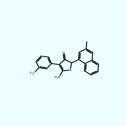 Cc1cc(C2OC(N)=C(c3cccc(C(F)(F)F)c3)C2=O)c2ccccc2c1